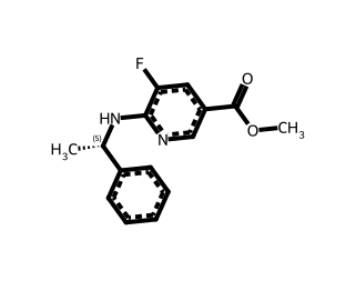 COC(=O)c1cnc(N[C@@H](C)c2ccccc2)c(F)c1